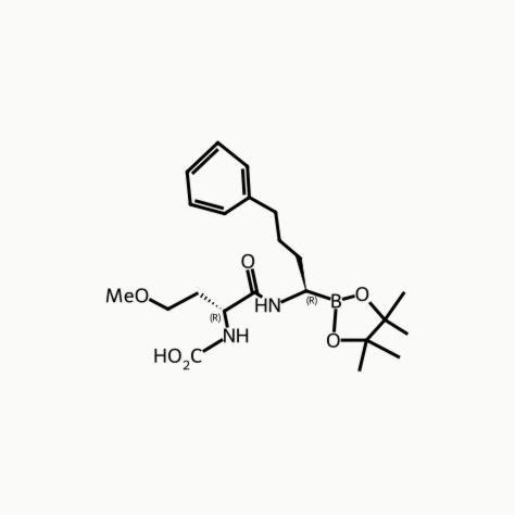 COCC[C@@H](NC(=O)O)C(=O)N[C@@H](CCCc1ccccc1)B1OC(C)(C)C(C)(C)O1